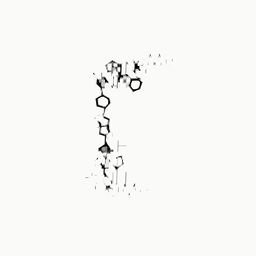 COC(=O)N[C@H](C(=O)N1CCC[C@H]1c1ncc(C2=CC3SC(c4ccc(-c5cnc([C@@H]6CCCN6C(=O)[C@H](NC(=O)OC)c6ccccc6)[nH]5)cc4)=CC3S2)[nH]1)C(C)C